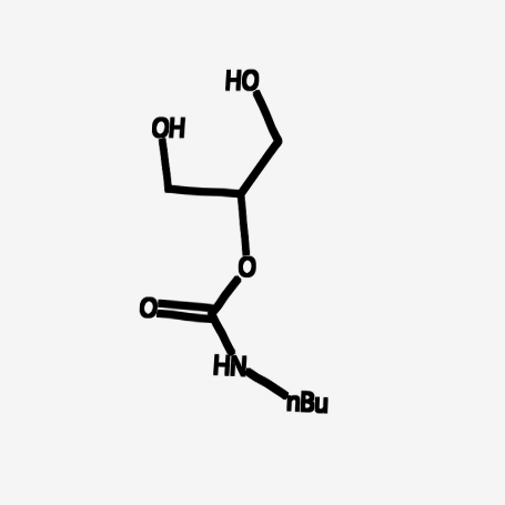 CCCCNC(=O)OC(CO)CO